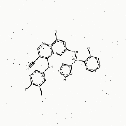 N#Cc1cnc2c(Cl)cc(N[C@H](c3c[nH]nn3)c3ccccc3Cl)cc2c1Nc1cnc(F)c(F)c1